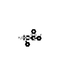 CS(=O)(=O)N1CCN(c2cnn(-c3cccc(F)c3)c(=O)c2OC2CCCCC2)C[C@@H]1Cc1ccccc1